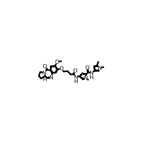 COc1cc2c(cc1OCCCC(=O)Nc1cc(C(=O)Nc3cc(C)n(C)c3)n(C)c1)N=C[C@@H]1CCCN1C2=O